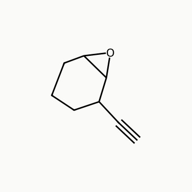 C#CC1CCCC2OC12